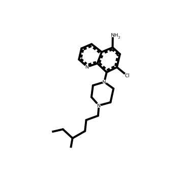 CCC(C)CCCN1CCN(c2c(Cl)cc(N)c3cccnc23)CC1